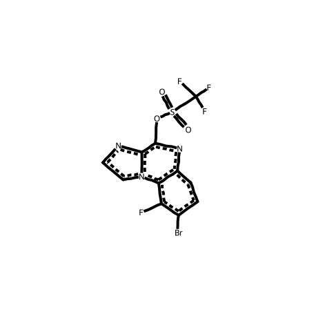 O=S(=O)(Oc1nc2ccc(Br)c(F)c2n2ccnc12)C(F)(F)F